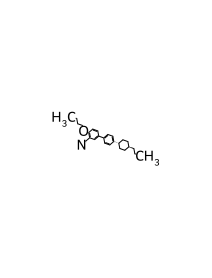 CCCCOc1ccc(-c2ccc([C@H]3CC[C@H](CCC)CC3)cc2)cc1C#N